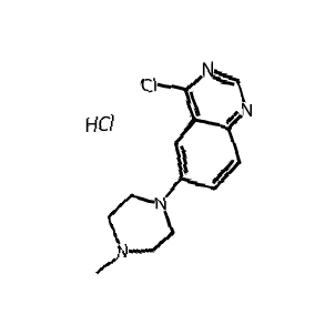 CN1CCN(c2ccc3ncnc(Cl)c3c2)CC1.Cl